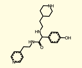 O=C(NCCc1ccncc1)C(NCCC1CCNCC1)c1ccc(O)cc1